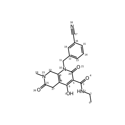 CCNC(=O)c1c(O)c2c(n(Cc3cccc(C#N)c3)c1=O)CN(C)C(=O)C2